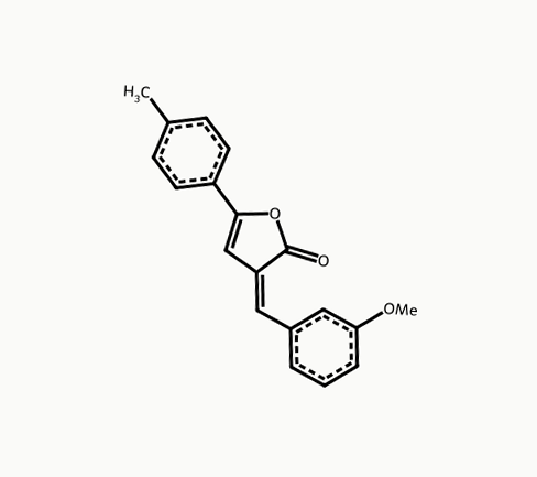 COc1cccc(C=C2C=C(c3ccc(C)cc3)OC2=O)c1